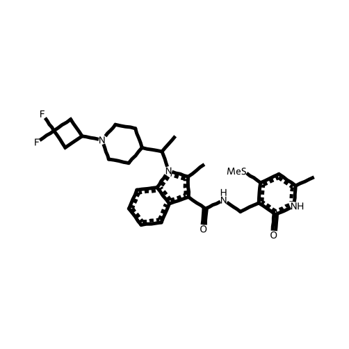 CSc1cc(C)[nH]c(=O)c1CNC(=O)c1c(C)n(C(C)C2CCN(C3CC(F)(F)C3)CC2)c2ccccc12